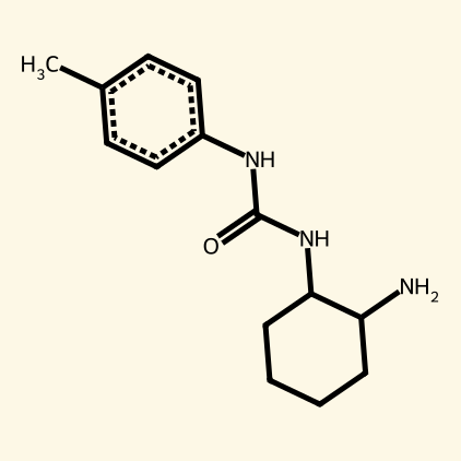 Cc1ccc(NC(=O)NC2CCCCC2N)cc1